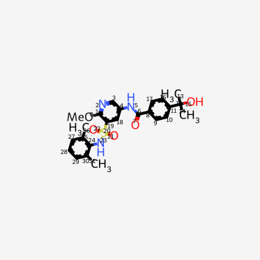 COc1ncc(NC(=O)c2ccc(C(C)(C)O)cc2)cc1S(=O)(=O)Nc1c(C)cccc1C